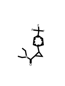 CCN(CC)C(=O)C1CC1c1ccc(C(F)(F)F)cc1